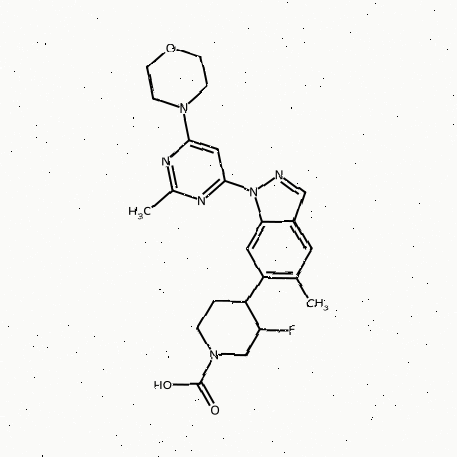 Cc1nc(N2CCOCC2)cc(-n2ncc3cc(C)c(C4CCN(C(=O)O)CC4F)cc32)n1